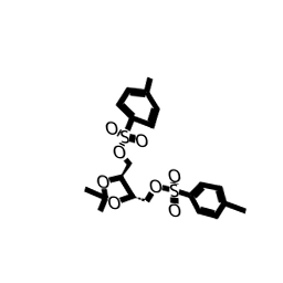 Cc1ccc(S(=O)(=O)OC[C@@H]2OC(C)(C)O[C@H]2COS(=O)(=O)c2ccc(C)cc2)cc1